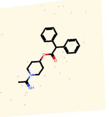 CC(=N)N1CCC(OC(=O)C(c2ccccc2)c2ccccc2)CC1